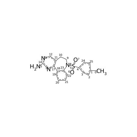 Cc1ccc(S(=O)(=O)N2CCc3cnc(N)nc3-c3ccccc32)cc1